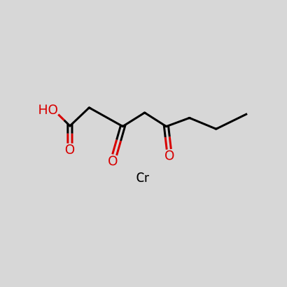 CCCC(=O)CC(=O)CC(=O)O.[Cr]